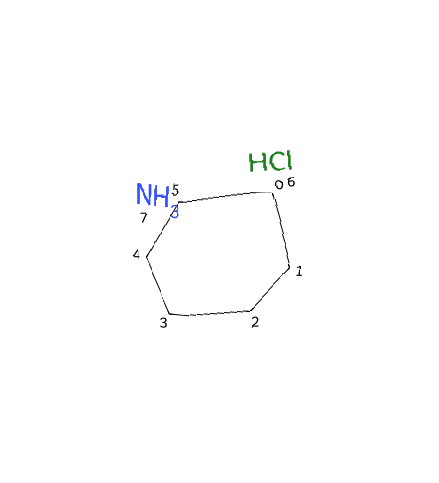 C1CCCCC1.Cl.N